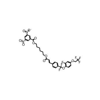 O=C(C=Cc1ccc(C(F)(F)Oc2ccc(OCC(F)(F)F)cc2F)cc1)OCCCCCCOC(=O)c1cc([N+](=O)[O-])cc([N+](=O)[O-])c1